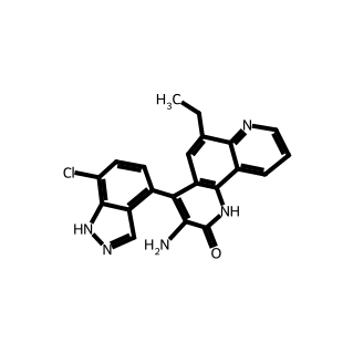 CCc1cc2c(-c3ccc(Cl)c4[nH]ncc34)c(N)c(=O)[nH]c2c2cccnc12